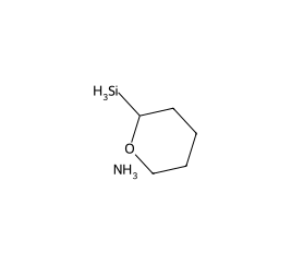 N.[SiH3]C1CCCCO1